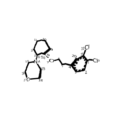 Clc1ccc(CCO[C@H]2CCCC[C@@H]2N2CCOCC2)cc1Cl